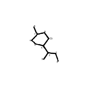 CCC(C)C1CCC(C)CC1